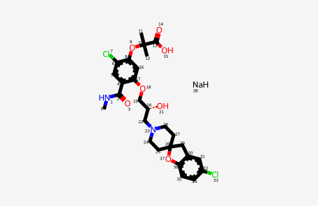 CNC(=O)c1cc(Cl)c(OC(C)(C)C(=O)O)cc1OC[C@H](O)CN1CCC2(CC1)Cc1cc(Cl)ccc1O2.[NaH]